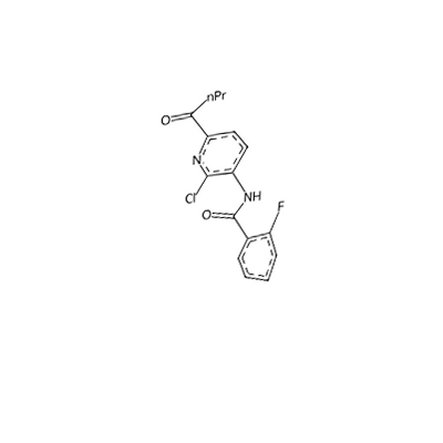 CCCC(=O)c1ccc(NC(=O)c2ccccc2F)c(Cl)n1